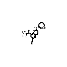 CC(C)Nc1nc(C#N)cc2cnc(N[C@@H]3CCCCNC3)nc12